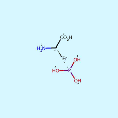 CC(C)[C@H](N)C(=O)O.OP(O)O